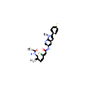 C=C(/C=C\C(Cl)=C\C(=O)Nc1cnc2c(c1)cc(-c1ccc(F)cc1)n2CC)CNC(=O)C(C)(C)C